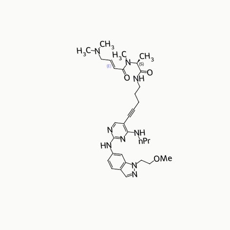 CCCNc1nc(Nc2ccc3cnn(CCOC)c3c2)ncc1C#CCCCNC(=O)[C@H](C)N(C)C(=O)/C=C/CN(C)C